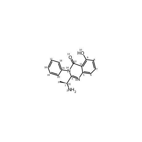 C[C@H](N)c1nc2cccc(O)c2c(=O)n1-c1ccccc1